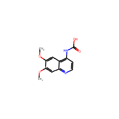 COc1cc2nccc(NC(=O)O)c2cc1OC